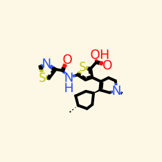 CN1CCC(c2cc(NC(=O)c3cscn3)sc2C(=O)O)=C([C@H]2CC[C@H](C)CC2)C1